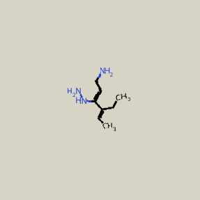 C/C=C(CC)/C(=C/CN)NN